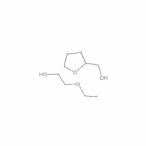 CCOCCO.OCC1CCCO1